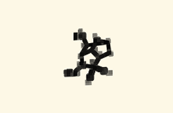 CC(C)(C)N1C2C(O)C3CC(C2O3)S1(=O)=O